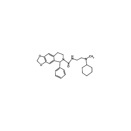 CN(CCNC(=O)N1CCc2cc3c(cc2C1c1ccccc1)OCO3)C1CCCCC1